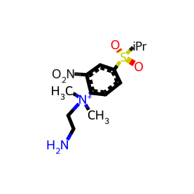 CC(C)S(=O)(=O)c1ccc([N+](C)(C)CCN)c([N+](=O)[O-])c1